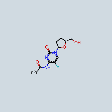 CCCC(=O)Nc1nc(=O)n([C@H]2CC[C@@H](CO)O2)cc1F